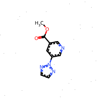 COC(=O)c1cncc(-n2nccn2)c1